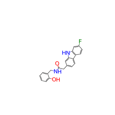 O=C(Cc1ccc2c(c1)[nH]c1cc(F)ccc12)NCc1ccccc1O